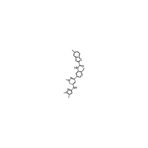 Cc1ccc2sc(C(=O)Nc3cc(C4=NN(C)CC(Nc5cc(C)n(C)n5)=C4)ccc3F)cc2c1